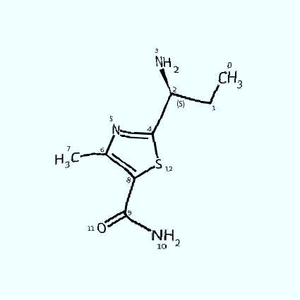 CC[C@H](N)c1nc(C)c(C(N)=O)s1